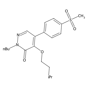 CCCCn1ncc(-c2ccc(S(C)(=O)=O)cc2)c(OCCC(C)C)c1=O